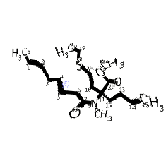 CCCC/C=C/CC(=O)N(C)[C@](CCCC)(CCSCC)C(=O)OC